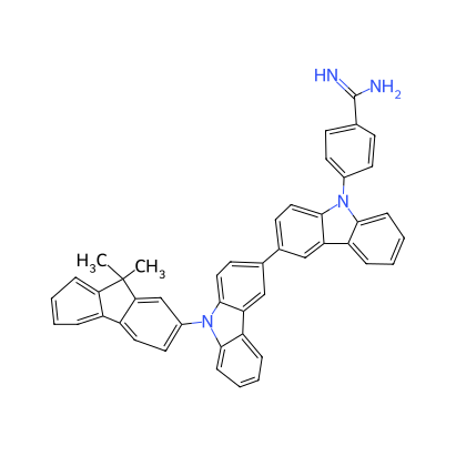 CC1(C)c2ccccc2-c2ccc(-n3c4ccccc4c4cc(-c5ccc6c(c5)c5ccccc5n6-c5ccc(C(=N)N)cc5)ccc43)cc21